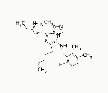 C=CCCCc1cc(-c2cc(CC)nn2C)c2nncn2c1NCC1=C(F)CCC(C)=C1C